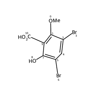 COc1c(Br)cc(Br)c(O)c1C(=O)O